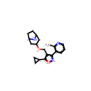 FC(F)(F)c1ncccc1-c1noc(C2CC2)c1COC1CC2CCC(C1)N2